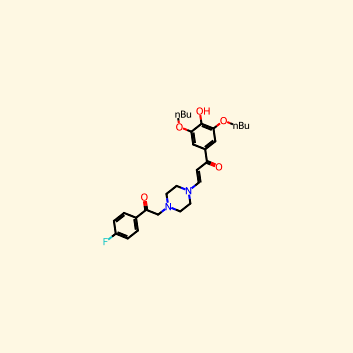 CCCCOc1cc(C(=O)C=CN2CCN(CC(=O)c3ccc(F)cc3)CC2)cc(OCCCC)c1O